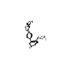 COc1ccc(F)cc1C1CCN(C2COC3(CNC3)C2)CC1